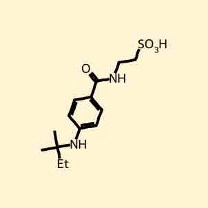 CCC(C)(C)Nc1ccc(C(=O)NCCS(=O)(=O)O)cc1